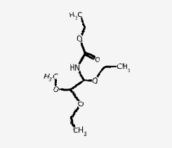 CCO[C](OC)C(NC(=O)OCC)OCC